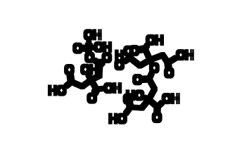 O=C(O)CC(O)(CC(=O)OC(CC(=O)O)(CC(=O)O)C(=O)O)C(=O)O.O=C(O)CC(O)(CC(=O)OP(=O)(O)O)C(=O)O